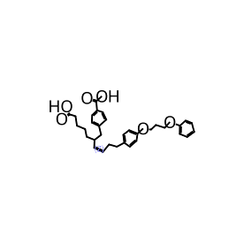 O=C(O)CCCCC(/C=C\CCc1ccc(OCCCOc2ccccc2)cc1)Cc1ccc(C(=O)O)cc1